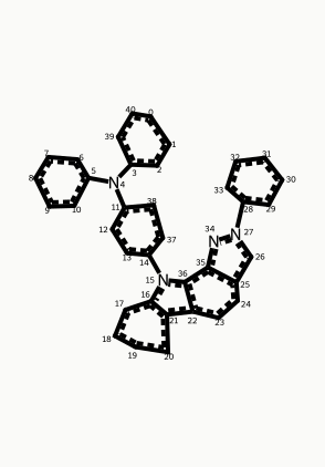 c1ccc(N(c2ccccc2)c2ccc(-n3c4ccccc4c4ccc5cn(-c6ccccc6)nc5c43)cc2)cc1